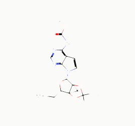 CSC[C@H]1O[C@@H](n2ccc3c(NC(=O)OC(C)(C)C)ncnc32)[C@@]23C[C@@]12OC(C)(C)O3